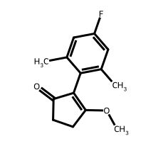 COC1=C(c2c(C)cc(F)cc2C)C(=O)CC1